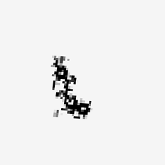 CCCC(=O)C1(c2ccccc2)CCN(C(=O)CNC(=O)c2ccc(CC(C)C)cc2)CC1